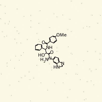 COc1ccc(C(=O)NC(c2ccccc2)C(O)C(=O)N(N)c2ccc3nc[nH]c3c2)cc1